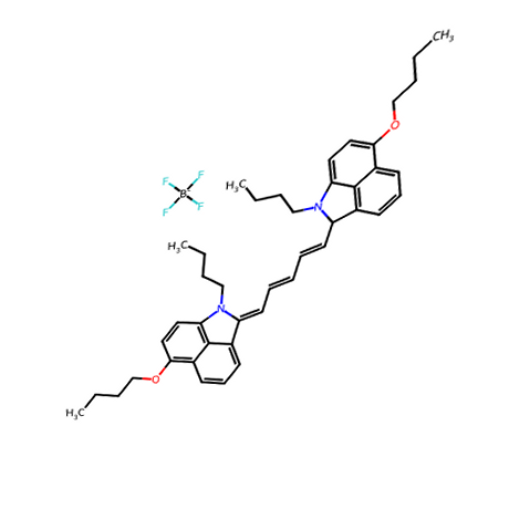 CCCCOc1ccc2c3c(cccc13)C(C=CC=CC=c1c3cccc4c(OCCCC)ccc(c43)n1CCCC)N2CCCC.F[B-](F)(F)F